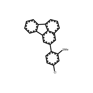 CSc1cc(Cl)ccc1-c1cc2c3c(cccc3c1)-c1ccccc1-2